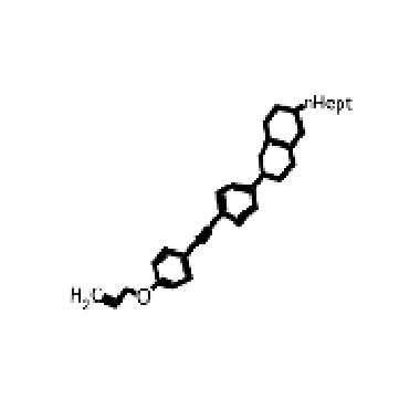 C=CCOc1ccc(C#Cc2ccc(C3CCC4CC(CCCCCCC)CCC4C3)cc2)cc1